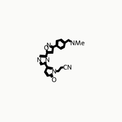 CNCc1ccc(-c2cc(-c3cncc(-c4ccc(=O)n(CCC#N)c4)n3)on2)cc1